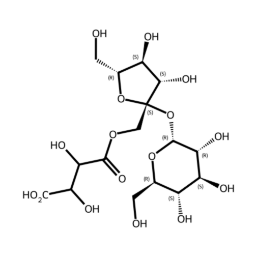 O=C(O)C(O)C(O)C(=O)OC[C@@]1(O[C@H]2O[C@H](CO)[C@@H](O)[C@H](O)[C@H]2O)O[C@H](CO)[C@@H](O)[C@@H]1O